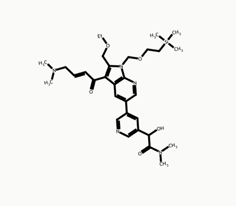 CCOCc1c(C(=O)C=CCN(C)C)c2cc(-c3cncc(C(O)C(=O)N(C)C)c3)cnc2n1COCC[Si](C)(C)C